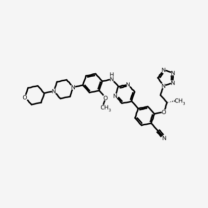 COc1cc(N2CCN(C3CCOCC3)CC2)ccc1Nc1ncc(-c2ccc(C#N)c(O[C@@H](C)Cn3cnnn3)c2)cn1